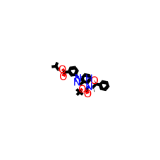 CC(C)COC(=O)c1cccc(-n2ncc3cc(O[C@H](c4ccccc4)[C@H](C)NC(=O)OC(C)(C)C)ccc32)c1